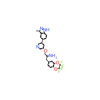 Cc1n[nH]c2ccc(-c3cncc(OC[C@@H](N)Cc4ccc5c(c4)OC(F)(F)C(F)(F)O5)c3)cc12